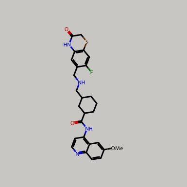 COc1ccc2nccc(NC(=O)C3CCCC(CNCc4cc5c(cc4F)SCC(=O)N5)C3)c2c1